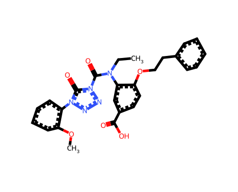 CCN(C(=O)n1nnn(-c2ccccc2OC)c1=O)c1cc(C(=O)O)ccc1OCCc1ccccc1